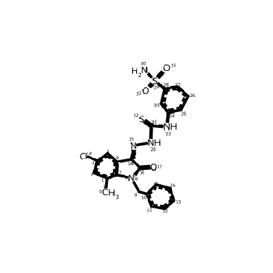 Cc1cc(Cl)cc2c1N(Cc1ccccc1)C(=O)C2=NNC(=S)Nc1cccc(S(N)(=O)=O)c1